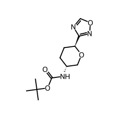 CC(C)(C)OC(=O)N[C@@H]1CC[C@@H](c2ncon2)OC1